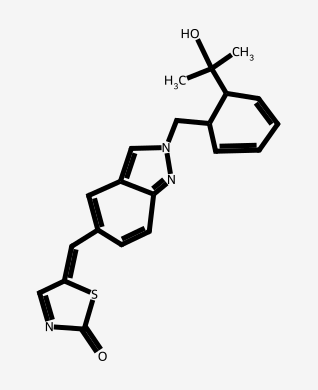 CC(C)(O)C1C=CC=CC1Cn1cc2cc(/C=C3/C=NC(=O)S3)ccc2n1